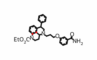 CCOC(=O)N1CCC(N(CCCOc2cccc(C(N)=O)c2)CC(c2ccccc2)c2ccccc2)CC1